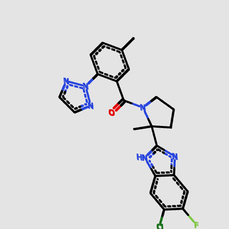 Cc1ccc(-n2nccn2)c(C(=O)N2CCCC2(C)c2nc3cc(F)c(Cl)cc3[nH]2)c1